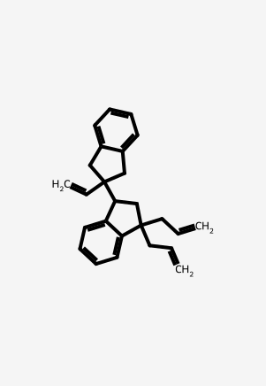 C=CCC1(CC=C)CC(C2(C=C)Cc3ccccc3C2)c2ccccc21